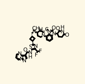 CN(C[C@H]1C[C@H](c2nc(C(F)F)c(NC(=O)c3cnn4cccnc34)s2)C1)C1CCN(c2cccc3c2n(C)c(=O)n3C2CCC(=O)NC2=O)CC1